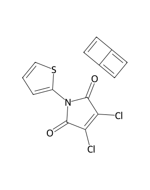 O=C1C(Cl)=C(Cl)C(=O)N1c1cccs1.c1cc2ccc1-2